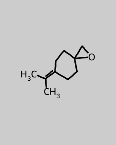 CC(C)=C1CCC2(CC1)CO2